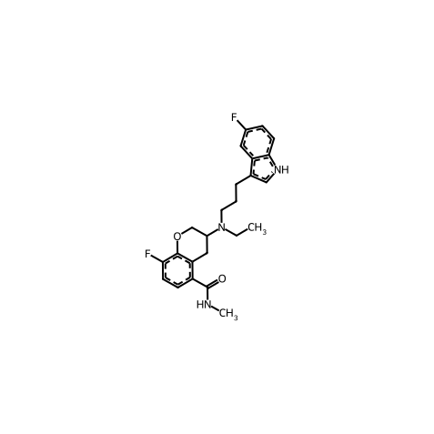 CCN(CCCc1c[nH]c2ccc(F)cc12)C1COc2c(F)ccc(C(=O)NC)c2C1